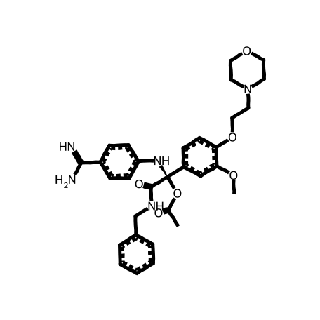 COc1cc([C@](Nc2ccc(C(=N)N)cc2)(OC(C)=O)C(=O)NCc2ccccc2)ccc1OCCN1CCOCC1